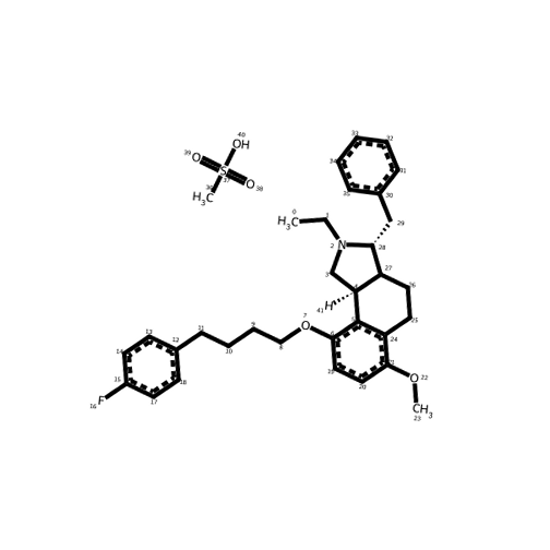 CCN1C[C@@H]2c3c(OCCCCc4ccc(F)cc4)ccc(OC)c3CCC2[C@H]1Cc1ccccc1.CS(=O)(=O)O